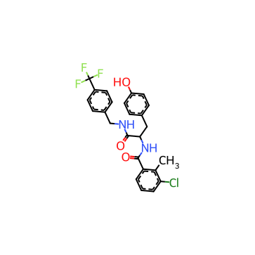 Cc1c(Cl)cccc1C(=O)NC(Cc1ccc(O)cc1)C(=O)NCc1ccc(C(F)(F)F)cc1